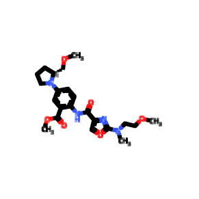 COCCN(C)c1nc(C(=O)Nc2ccc(N3CCC[C@@H]3COC)cc2C(=O)OC)co1